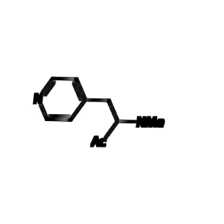 CNC(Cc1ccncc1)C(C)=O